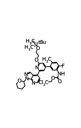 Cc1cc(F)c(NC(=O)OCC(Cl)(Cl)Cl)cc1-c1cc(OCCO[Si](C)(C)C(C)(C)C)nc(-c2ccnc3c2cnn3C2CCCCO2)c1